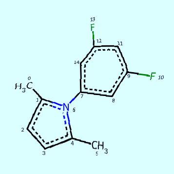 Cc1ccc(C)n1-c1cc(F)cc(F)c1